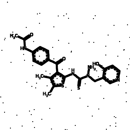 CC(=O)Nc1ccc(C(=O)c2c(NC(=S)N(N)Cc3cnccc3O)sc(C)c2C)cc1